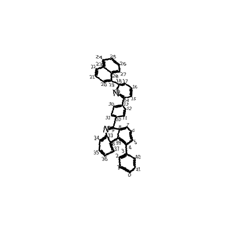 c1ccc(-c2cccc3c(-c4ccc(-c5cccc(-c6cccc7ccccc67)n5)cc4)nc4ccccc4c23)cc1